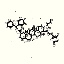 C=CCO[C@H]1CC[C@@]2(C)[C@@H](CC[C@]3(C)[C@@H]2C(=O)C=C2[C@@H]4C[C@@](C)(C(=O)OC(c5ccccc5)c5ccccc5)CC[C@]4(C)CC[C@]23C)[C@]1(C)C(=O)OCc1oc(=O)oc1C